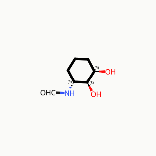 O=CN[C@@H]1CCC[C@@H](O)[C@H]1O